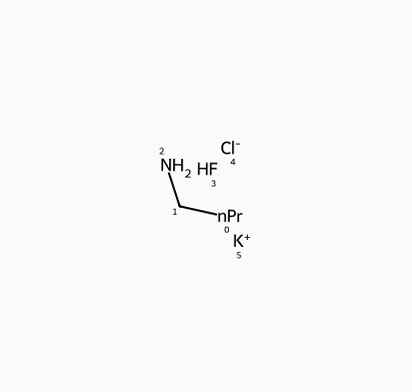 CCCCN.F.[Cl-].[K+]